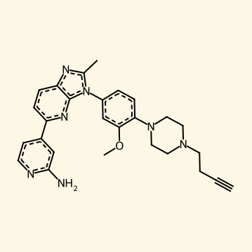 C#CCCN1CCN(c2ccc(-n3c(C)nc4ccc(-c5ccnc(N)c5)nc43)cc2OC)CC1